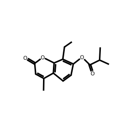 CCc1c(OC(=O)C(C)C)ccc2c(C)cc(=O)oc12